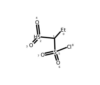 CCC([SH](=O)=O)S(=O)(=O)Cl